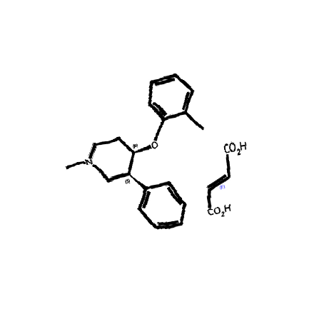 Cc1ccccc1O[C@@H]1CCN(C)C[C@@H]1c1ccccc1.O=C(O)/C=C/C(=O)O